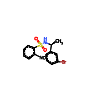 C[C@H](NS(=O)(=O)c1ccccc1[N+](=O)[O-])c1cccc(Br)c1